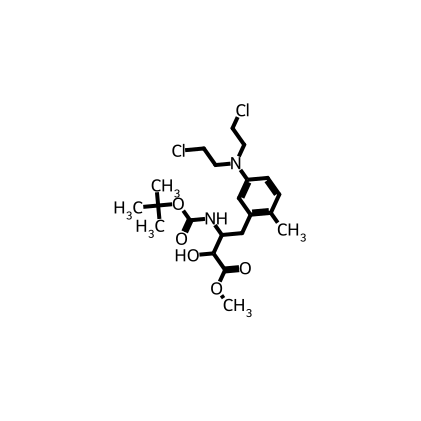 COC(=O)C(O)C(Cc1cc(N(CCCl)CCCl)ccc1C)NC(=O)OC(C)(C)C